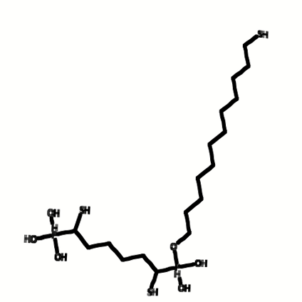 O[PH](O)(O)C(S)CCCCC(S)[PH](O)(O)OCCCCCCCCCCCCS